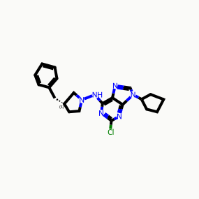 Clc1nc(NN2CC[C@H](Cc3ccccc3)C2)c2ncn(C3CCCC3)c2n1